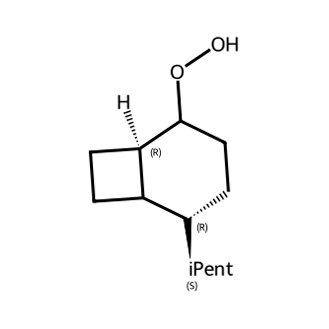 CCC[C@H](C)[C@H]1CCC(OO)[C@@H]2CCC21